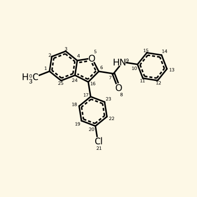 Cc1ccc2oc(C(=O)Nc3ccccc3)c(-c3ccc(Cl)cc3)c2c1